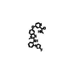 CNC(=O)c1cc(Oc2ccc3c(c2)nc(Nc2ccccc2N2CC=C(F)C2)n3C)ccn1